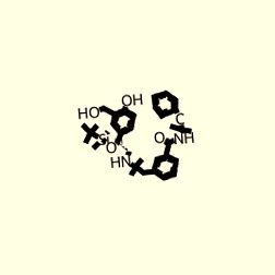 CC(C)(Cc1cccc(C(=O)NC(C)(C)Cc2ccccc2)c1)NC[C@H](O[Si](C)(C)C(C)(C)C)c1ccc(O)c(CO)c1